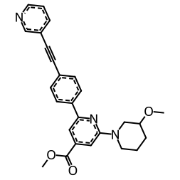 COC(=O)c1cc(-c2ccc(C#Cc3cccnc3)cc2)nc(N2CCCC(OC)C2)c1